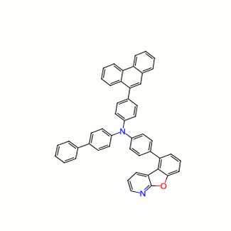 c1ccc(-c2ccc(N(c3ccc(-c4cc5ccccc5c5ccccc45)cc3)c3ccc(-c4cccc5oc6ncccc6c45)cc3)cc2)cc1